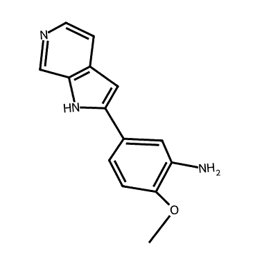 COc1ccc(-c2cc3ccncc3[nH]2)cc1N